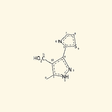 Cc1[nH]nc(-c2nccs2)c1C(=O)O